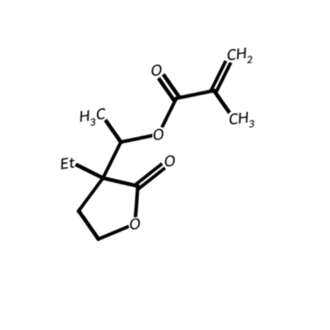 C=C(C)C(=O)OC(C)C1(CC)CCOC1=O